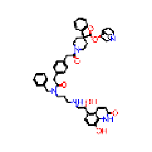 O=C(Cc1ccc(CC(=O)N(CCCNCC(O)c2ccc(O)c3[nH]c(=O)ccc23)Cc2ccccc2)cc1)N1CCC(C(=O)OC2CN3CCC2CC3)(c2ccccc2)CC1